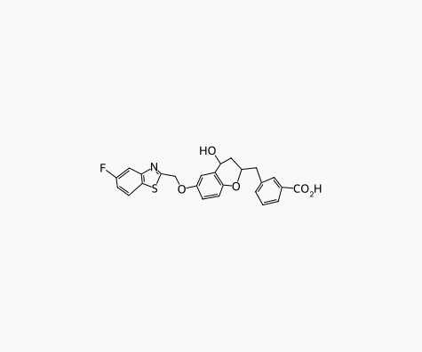 O=C(O)c1cccc(CC2CC(O)c3cc(OCc4nc5cc(F)ccc5s4)ccc3O2)c1